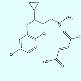 CNCCC(Oc1cc(Cl)ccc1Cl)C1CC1.O=C(O)/C=C/C(=O)O